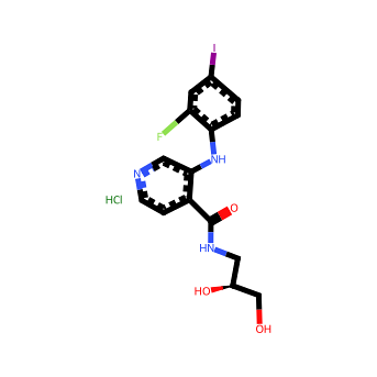 Cl.O=C(NC[C@H](O)CO)c1ccncc1Nc1ccc(I)cc1F